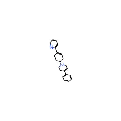 C1=C(c2ccccc2)CCN(C2CC=C(c3ccccn3)CC2)C1